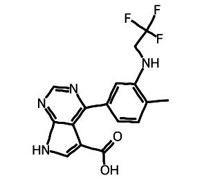 Cc1ccc(-c2ncnc3[nH]cc(C(=O)O)c23)cc1NCC(F)(F)F